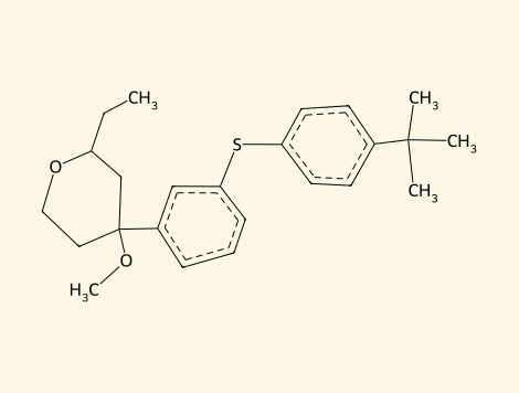 CCC1CC(OC)(c2cccc(Sc3ccc(C(C)(C)C)cc3)c2)CCO1